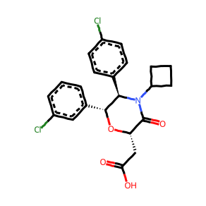 O=C(O)C[C@@H]1O[C@H](c2cccc(Cl)c2)[C@@H](c2ccc(Cl)cc2)N(C2CCC2)C1=O